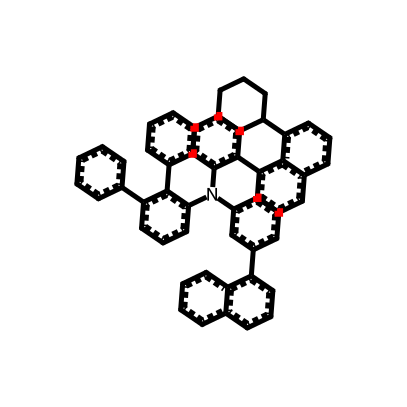 c1ccc(-c2cccc(N(c3cccc(-c4cccc5ccccc45)c3)c3ccccc3-c3cccc4cccc(C5CCCCC5)c34)c2-c2ccccc2)cc1